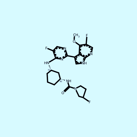 COc1c(F)cnc2[nH]cc(-c3ncc(F)c(N[C@H]4CCC[C@@H](NC(=O)N5CCC(F)C5)C4)n3)c12